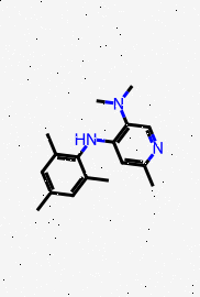 Cc1cc(C)c(Nc2cc(C)ncc2N(C)C)c(C)c1